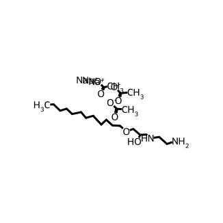 CC(=O)[O-].CC(=O)[O-].CC(=O)[O-].CCCCCCCCCCCCOCC(O)CNCCN.[Na+].[Na+].[Na+]